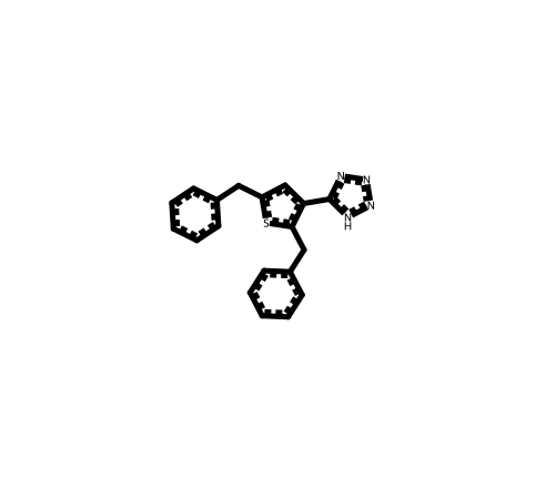 c1ccc(Cc2cc(-c3nnn[nH]3)c(Cc3ccccc3)s2)cc1